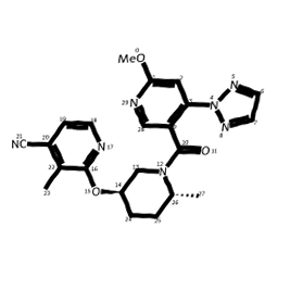 COc1cc(-n2nccn2)c(C(=O)N2C[C@H](Oc3nccc(C#N)c3C)CC[C@H]2C)cn1